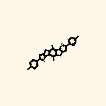 Cc1ccc(-c2cc3c(s2)-c2c(C)c4c(c(C)c2C3)-c2sc(-c3ccc(C)cc3)cc2C4)cc1